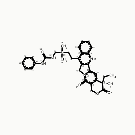 CC[C@@]1(O)C(=O)OCc2c1cc1n(c2=O)Cc2c-1nc1ccccc1c2CC[Si](C)(C)CNC(=O)Nc1ccccc1